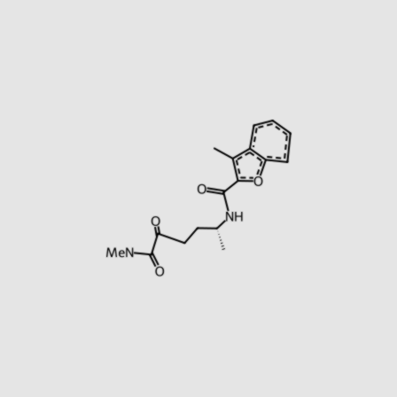 CNC(=O)C(=O)CC[C@@H](C)NC(=O)c1oc2ccccc2c1C